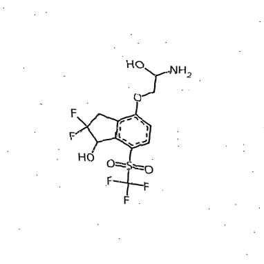 NC(O)COc1ccc(S(=O)(=O)C(F)(F)F)c2c1CC(F)(F)C2O